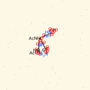 CC(=O)NC(COCCC(=O)NCCCCC1NCC(=O)OC2(CCC(=O)O2)COC1=O)(COCCC(=O)NCCCCC1C(=O)O[C@H](OC(=O)CN)C1CC(=O)O)COCCC(=O)NCCCCC1C(=O)OC2(OC(C)=O)OC(=O)CC12C